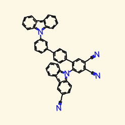 N#Cc1ccc2c(c1)c1ccccc1n2-c1cc(C#N)c(C#N)cc1-c1ccc(-c2cccc(-n3c4ccccc4c4ccccc43)c2)cc1